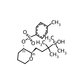 Cc1ccc(S(=O)(=O)O[C@H]2CCCO[C@@H]2CCC(C)(C)[Si](C)(C)O)cc1